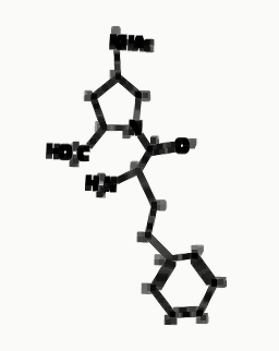 CC(=O)NC1CC(C(=O)O)N(C(=O)C(N)CCc2ccccc2)C1